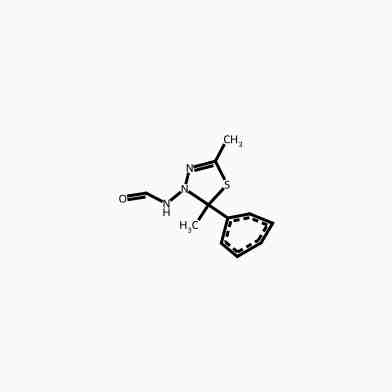 CC1=NN(NC=O)C(C)(c2ccccc2)S1